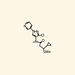 CSC(CC(=O)N(C)c1cn(-c2cccnc2)nc1Cl)C1CC1